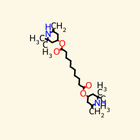 C=C1CC(OC(=O)CCCCCCCCC(=O)OC2CC(=C)NC(C)(C)C2)CC(C)(C)N1